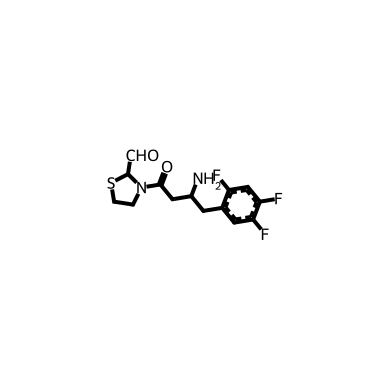 NC(CC(=O)N1CCSC1C=O)Cc1cc(F)c(F)cc1F